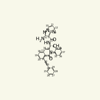 C[C@@H](NC(=O)c1c(N)nn2cccnc12)c1cc2cccc(C#Cc3ccccc3)c2c(=O)n1-c1ccccc1